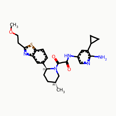 COCCc1nc2cc([C@@H]3CC[C@@H](C)CN3C(=O)C(=O)Nc3cnc(N)c(C4CC4)c3)ccc2s1